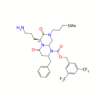 CSCCCN1CC2N(C(=O)OCc3cc(C(F)(F)F)cc(C(F)(F)F)c3)C(Cc3ccccc3)CC(=O)N2[C@@H](CCCN)C1=O